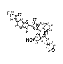 CCN(CCN1CCOCC1)c1ccc(C#N)cc1N=C1SC(=C2Sc3cc(NC(=O)C(F)(F)F)ccc3N2C)C(=O)N1Cc1ccccc1